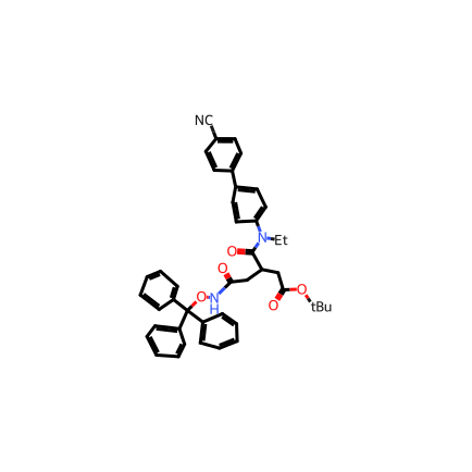 CCN(C(=O)C(CC(=O)NOC(c1ccccc1)(c1ccccc1)c1ccccc1)CC(=O)OC(C)(C)C)c1ccc(-c2ccc(C#N)cc2)cc1